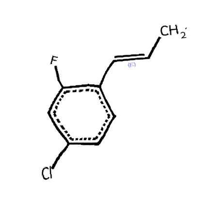 [CH2]/C=C/c1ccc(Cl)cc1F